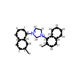 Cc1ccc2cccc(N3CCN(c4c(C)ccc5ccccc45)C3)c2c1